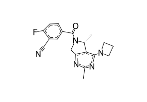 Cc1nc2c(c(N3CCC3)n1)[C@@H](C)N(C(=O)c1ccc(F)c(C#N)c1)C2